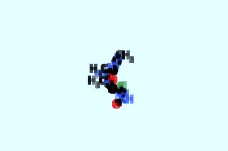 C[C@H](C(=O)N[C@H](C)c1cccc(N2CCN(C)CC2)n1)N1Cc2ccc(-c3nc(NC4COC4)ncc3Cl)cc2C1=O